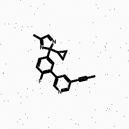 CC#Cc1cncc(-c2cc(C3(C4CC4)N=CC(C)=N3)ccc2F)c1